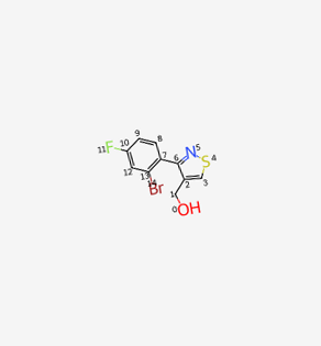 OCc1csnc1-c1ccc(F)cc1Br